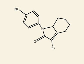 CCC1=C2CCCCC2N(c2ccc(C#N)cc2)C1=O